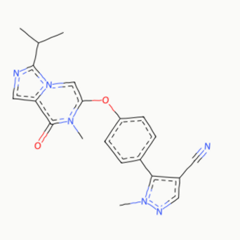 CC(C)c1ncc2c(=O)n(C)c(Oc3ccc(-c4c(C#N)cnn4C)cc3)cn12